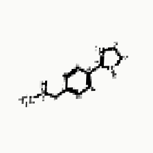 CNCc1ccc(C2=NCCS2)cc1